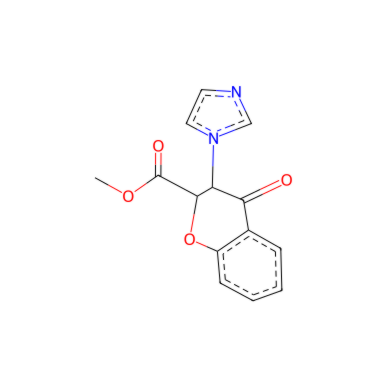 COC(=O)C1Oc2ccccc2C(=O)C1n1ccnc1